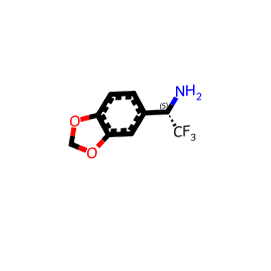 N[C@@H](c1ccc2c(c1)OCO2)C(F)(F)F